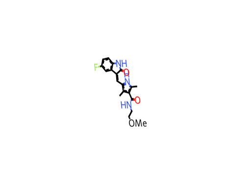 COCCNC(=O)c1c(C)[nH]c(/C=C2\C(=O)Nc3ccc(F)cc32)c1C